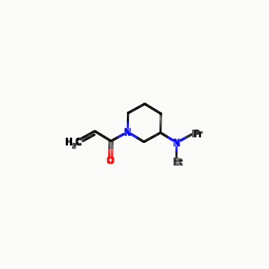 C=CC(=O)N1CCCC(N(CC)C(C)C)C1